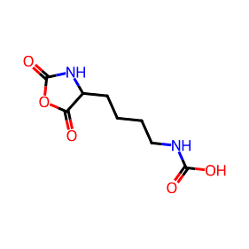 O=C(O)NCCCCC1NC(=O)OC1=O